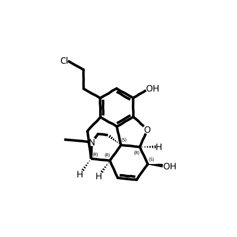 CN1CC[C@]23c4c5c(CCCl)cc(O)c4O[C@H]2[C@@H](O)C=C[C@H]3[C@H]1C5